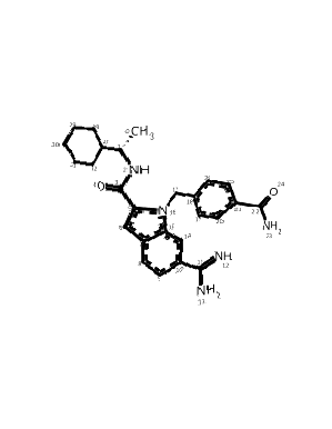 C[C@H](NC(=O)c1cc2ccc(C(=N)N)cc2n1Cc1ccc(C(N)=O)cc1)C1CCCCC1